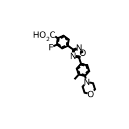 Cc1cc(-c2nc(-c3ccc(C(=O)O)c(F)c3)no2)ccc1N1CCOCC1